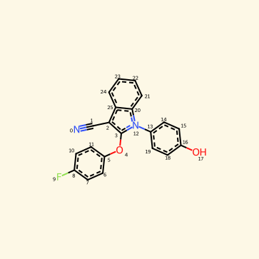 N#Cc1c(Oc2ccc(F)cc2)n(-c2ccc(O)cc2)c2ccccc12